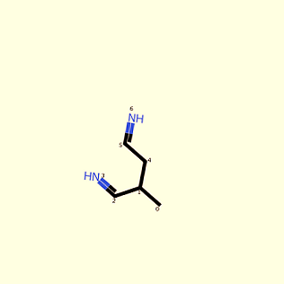 CC(C=N)CC=N